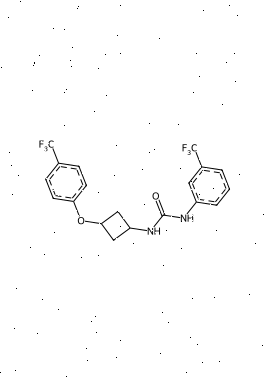 O=C(Nc1cccc(C(F)(F)F)c1)NC1CC(Oc2ccc(C(F)(F)F)cc2)C1